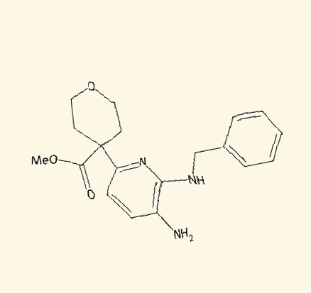 COC(=O)C1(c2ccc(N)c(NCc3ccccc3)n2)CCOCC1